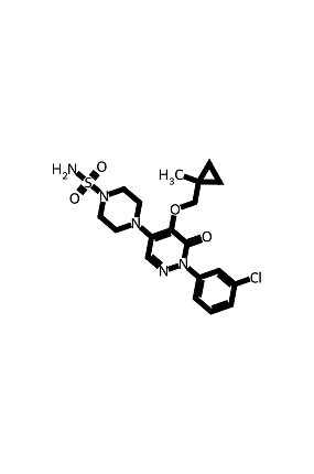 CC1(COc2c(N3CCN(S(N)(=O)=O)CC3)cnn(-c3cccc(Cl)c3)c2=O)CC1